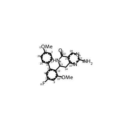 COc1ccc(-c2cc(F)cc(OC)c2C2Cc3nc(N)ncc3C(=O)N2)cc1